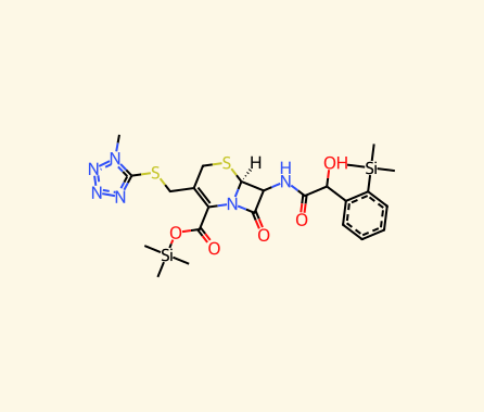 Cn1nnnc1SCC1=C(C(=O)O[Si](C)(C)C)N2C(=O)C(NC(=O)C(O)c3ccccc3[Si](C)(C)C)[C@@H]2SC1